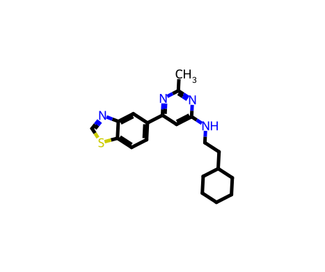 Cc1nc(NCCC2CCCCC2)cc(-c2ccc3scnc3c2)n1